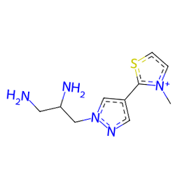 C[n+]1ccsc1-c1cnn(CC(N)CN)c1